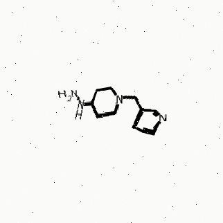 NNC1CCN(Cc2cccnc2)CC1